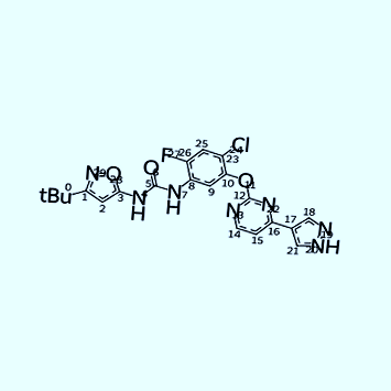 CC(C)(C)c1cc(NC(=O)Nc2cc(Oc3nccc(-c4cn[nH]c4)n3)c(Cl)cc2F)on1